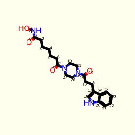 O=C(CCCCCC(=O)N1CCN(C(=O)CCc2c[nH]c3ccccc23)CC1)NO